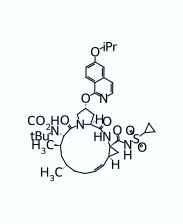 CC(C)Oc1ccc2c(O[C@@H]3C[C@H]4C(=O)N[C@]5(C(=O)NS(=O)(=O)C6CC6)C[C@H]5/C=C\CC[C@H](C)C[C@@H](C)[C@H](N(C(=O)O)C(C)(C)C)C(=O)N4C3)nccc2c1